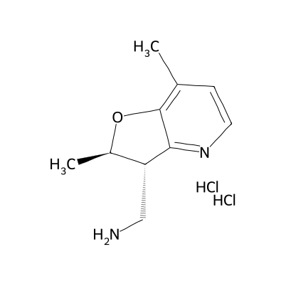 Cc1ccnc2c1O[C@H](C)[C@H]2CN.Cl.Cl